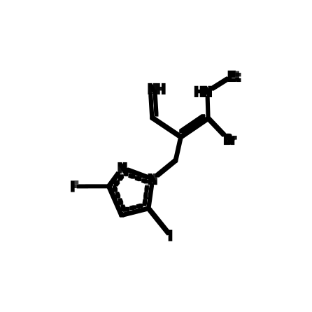 CCN/C(Br)=C(\C=N)Cn1nc(F)cc1I